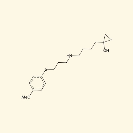 COc1ccc(SCCCNCCCCC2(O)CC2)cc1